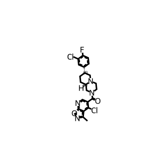 Cc1noc2ncc(C(=O)N3CCN4C[C@@H](c5ccc(F)c(Cl)c5)CC[C@@H]4C3)c(Cl)c12